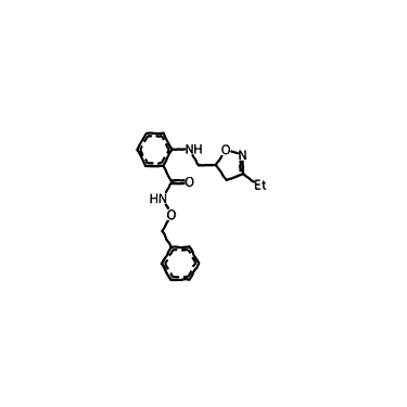 CCC1=NOC(CNc2ccccc2C(=O)NOCc2ccccc2)C1